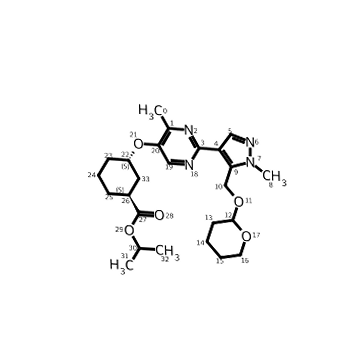 Cc1nc(-c2cnn(C)c2COC2CCCCO2)ncc1O[C@H]1CCC[C@H](C(=O)OC(C)C)C1